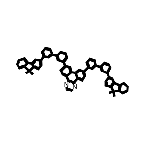 CC1(C)C2=C(CCC=C2)c2cc(-c3cccc(-c4cccc(-c5ccc6c(c5)c5cc(-c7cccc(-c8cccc(-c9ccc%10c(c9)-c9ccccc9C%10(C)C)c8)c7)ccc5c5nccnc65)c4)c3)ccc21